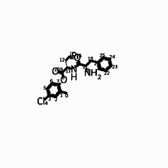 Cc1cc(Cl)ccc1OC(=O)[C@H](CC(C)C)NC(=O)[C@@H](N)Cc1ccccc1